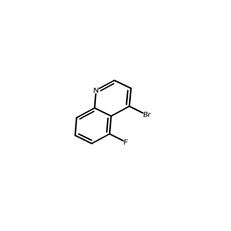 Fc1cccc2nccc(Br)c12